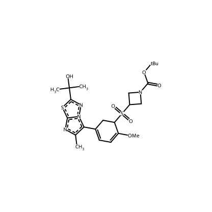 COC1=CC=C(c2c(C)nc3sc(C(C)(C)O)nn23)CC1S(=O)(=O)C1CN(C(=O)OC(C)(C)C)C1